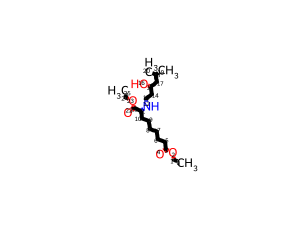 CCOC(=O)CCCCCCC(NCCC(O)CC(C)C)C(=O)OCC